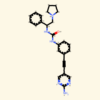 Nc1ncc(C#Cc2cccc(NC(=O)NC(CN3CCCC3)c3ccccc3)c2)cn1